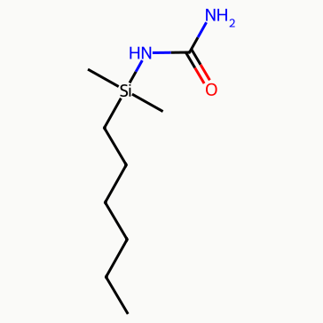 CCCCCC[Si](C)(C)NC(N)=O